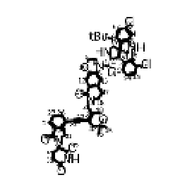 CC(C)(C)C[C@@H]1N[C@@H](C(=O)N2CCOc3cc4c(cc32)CCN(CC2=C(C#Cc3cccc5c3CN(C3CCC(=O)NC3=O)C5=O)CC(C)(C)OC2)C4=O)[C@H](c2cccc(Cl)c2F)[C@]12CNc1cc(Cl)ccc12